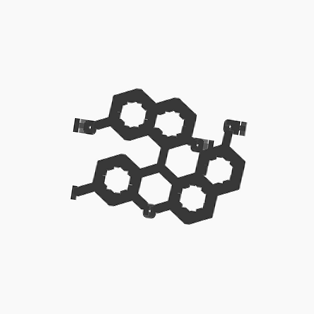 Oc1ccc2ccc(O)c(C3c4ccc(I)cc4Oc4ccc5ccc(O)cc5c43)c2c1